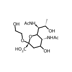 CC(=O)N[C@@H]1C(O)C[C@@](OCCO)(C(=O)O)OC1[C@@H](NC(C)=O)[C@H](C)O